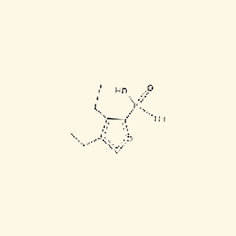 CCc1coc(P(=O)(O)O)c1CC